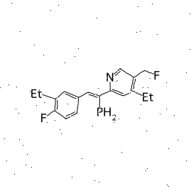 C/C=C(\N=C/C(=C/CC)CF)C(/P)=C/c1ccc(F)c(CC)c1